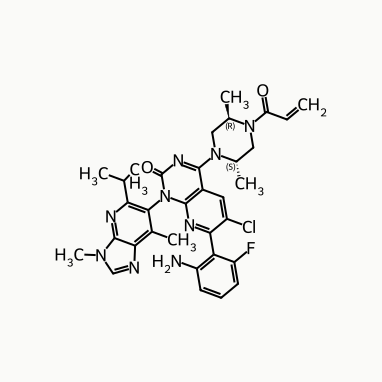 C=CC(=O)N1C[C@H](C)N(c2nc(=O)n(-c3c(C(C)C)nc4c(ncn4C)c3C)c3nc(-c4c(N)cccc4F)c(Cl)cc23)C[C@H]1C